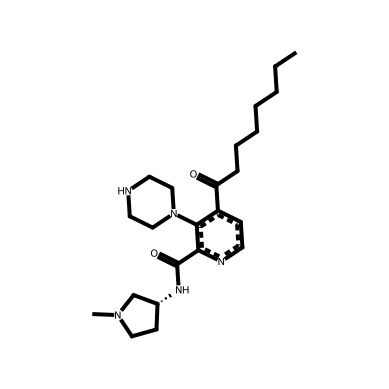 CCCCCCCC(=O)c1ccnc(C(=O)N[C@@H]2CCN(C)C2)c1N1CCNCC1